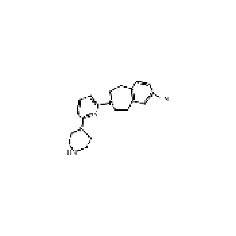 N#Cc1ccc2c(c1)CCN(c1cccc(N3CCNCC3)n1)CC2